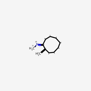 C=C1CCCCCCC/C1=N/C